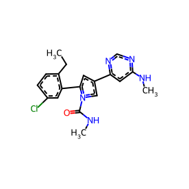 CCc1ccc(Cl)cc1-c1cc(-c2cc(NC)ncn2)cn1C(=O)NC